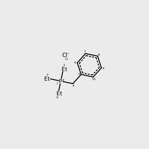 CC[P+](CC)(CC)Cc1ccccc1.[Cl-]